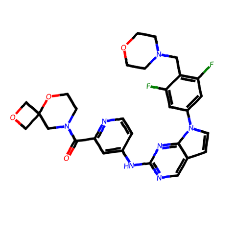 O=C(c1cc(Nc2ncc3ccn(-c4cc(F)c(CN5CCOCC5)c(F)c4)c3n2)ccn1)N1CCOC2(COC2)C1